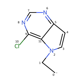 [CH2]Cn1ccc2ncnc(Cl)c21